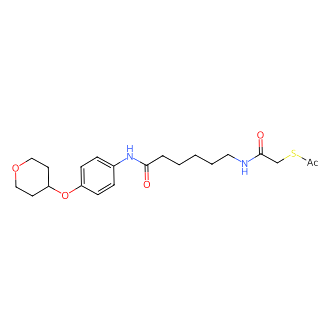 CC(=O)SCC(=O)NCCCCCC(=O)Nc1ccc(OC2CCOCC2)cc1